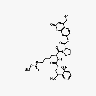 CC(=O)Cc1cc(=O)oc2cc(OC(=O)[C@@H]3CCCN3C(=O)[C@H](CCCCNC(=O)OC(C)(C)C)NC(=O)OCC(C)c3ccccc3[N+](=O)[O-])ccc12